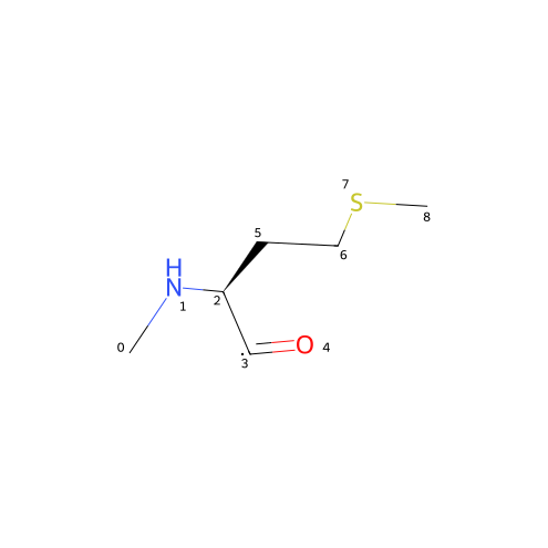 CN[C@H]([C]=O)CCSC